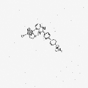 COc1ccc(-c2ccc(-c3nc4cccc(Br)c4n3C[C@@H]3CCN(C(=O)C4CC4)C3)cc2)cc1